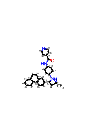 O=C(Nc1ccc(-n2nc(C(F)(F)F)cc2-c2ccc3c(ccc4ccccc43)c2)cc1)c1ccncc1